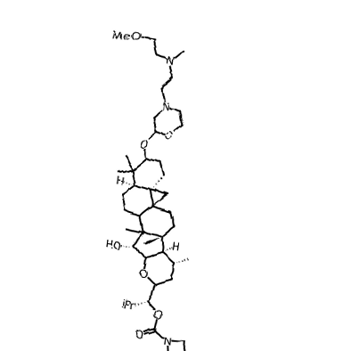 COCCN(C)CCN1CCOC(O[C@H]2CC[C@]34C[C@]35CC[C@]3(C)[C@@H]6C(OC([C@H](OC(=O)N7CCC7)C(C)C)C[C@H]6C)[C@H](O)C3(C)C5CC[C@H]4C2(C)C)C1